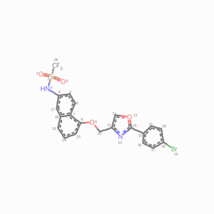 O=S(=O)(Nc1ccc2c(OCc3coc(-c4ccc(Br)cc4)n3)cccc2c1)C(F)(F)F